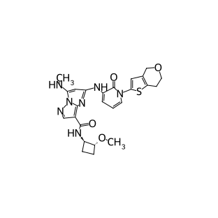 CNc1cc(Nc2cccn(-c3cc4c(s3)CCOC4)c2=O)nc2c(C(=O)N[C@@H]3CC[C@H]3OC)cnn12